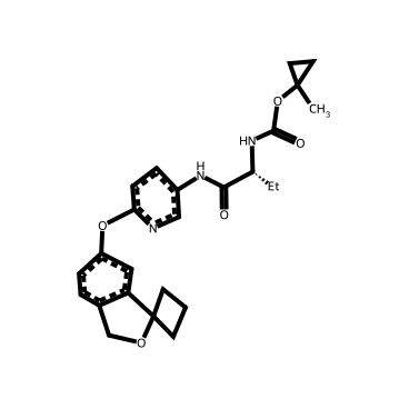 CC[C@@H](NC(=O)OC1(C)CC1)C(=O)Nc1ccc(Oc2ccc3c(c2)C2(CCC2)OC3)nc1